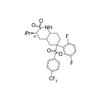 CC(C)[C@@H]1CC2CC(c3cc(F)ccc3F)(S(=O)(=O)c3ccc(C(F)(F)F)cc3)CCC2NS1(=O)=O